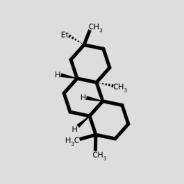 CC[C@]1(C)CC[C@]2(C)[C@H](CC[C@@H]3[C@H]2CCCC3(C)C)C1